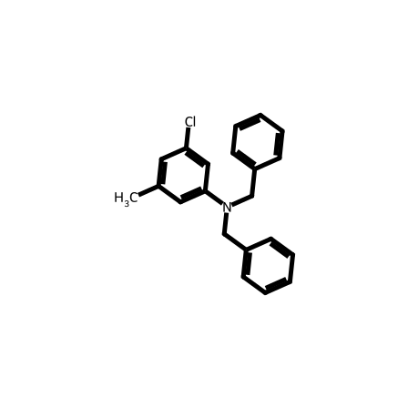 Cc1cc(Cl)cc(N(Cc2ccccc2)Cc2ccccc2)c1